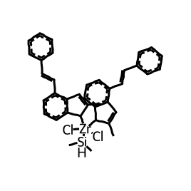 CC1=Cc2c(C=Cc3ccccc3)cccc2[CH]1[Zr]([Cl])([Cl])([CH]1C(C)=Cc2c(C=Cc3ccccc3)cccc21)[SiH](C)C